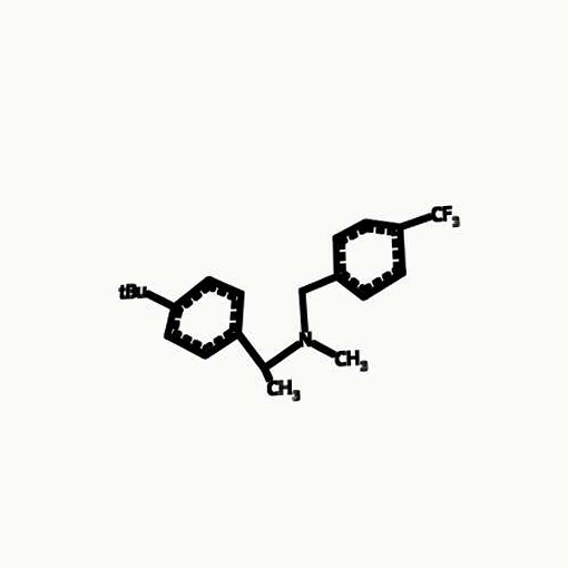 CC(c1ccc(C(C)(C)C)cc1)N(C)Cc1ccc(C(F)(F)F)cc1